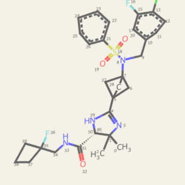 CC1(C)N=C(C23CC(N(Cc4ccc(Cl)c(F)c4)S(=O)(=O)c4ccccc4)(C2)C3)N[C@H]1C(=O)NCC1(F)CCC1